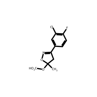 CC1(OC(=O)O)CC(c2ccc(F)c(Cl)c2)=NO1